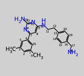 Cc1cc(C)cc(-c2cc(NCCc3ccc(CN)cc3)nc(N)n2)c1